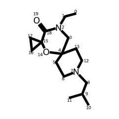 CCN1CC2(CCN(CC(C)C)CC2)OC2(CC2)C1=O